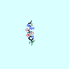 Cc1cnc(NC(=O)C(C)(C)S(=O)(=O)c2ccc(C(F)(F)F)cn2)s1